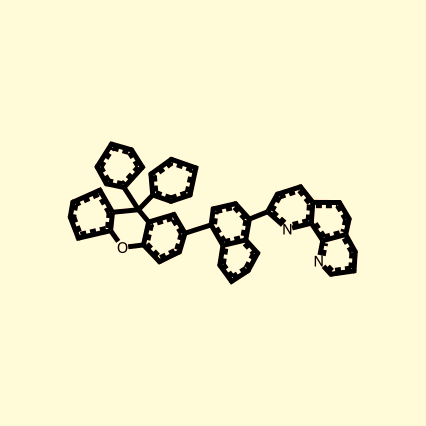 c1ccc(C2(c3ccccc3)c3ccccc3Oc3ccc(-c4ccc(-c5ccc6ccc7cccnc7c6n5)c5ccccc45)cc32)cc1